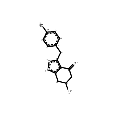 CC(C)C1CC(=O)c2c(noc2Cc2ccc(C#N)cc2)C1